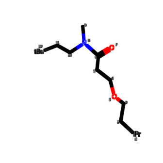 CC(C)CCOCCC(=O)N(C)CCC(C)(C)C